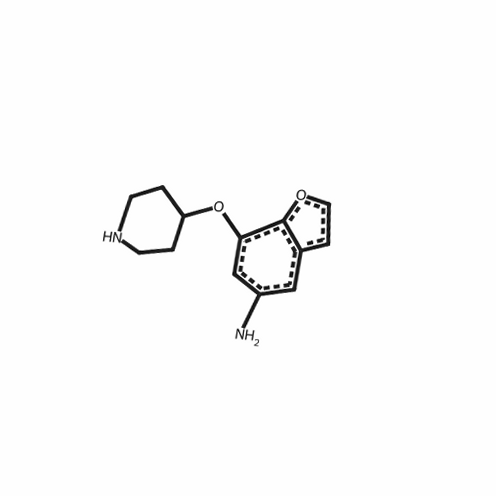 Nc1cc(OC2CCNCC2)c2occc2c1